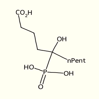 CCCCCC(O)(CCCC(=O)O)P(=O)(O)O